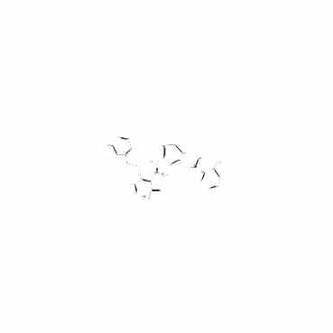 O=C(Nc1cccc2nc(-c3c(NCc4ccccc4)cc[nH]c3=O)[nH]c12)c1ccccc1Cl